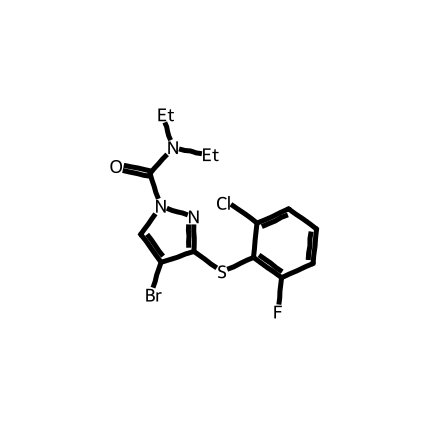 CCN(CC)C(=O)n1cc(Br)c(Sc2c(F)cccc2Cl)n1